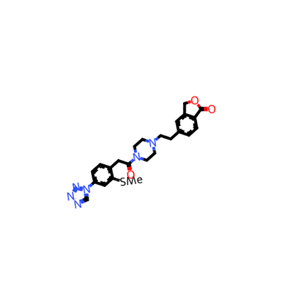 CSc1cc(-n2cnnn2)ccc1CC(=O)N1CCN(CCc2ccc3c(c2)COC3=O)CC1